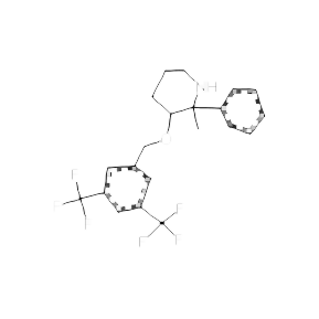 CC1(c2ccccc2)NCCCC1OCc1cc(C(F)(F)F)cc(C(F)(F)F)c1